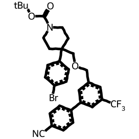 CC(C)(C)OC(=O)N1CCC(COCc2cc(-c3ccc(C#N)cc3)cc(C(F)(F)F)c2)(c2ccc(Br)cc2)CC1